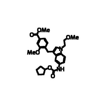 COCCn1cc(Cc2ccc(C(=O)OC)cc2OC)c2cc(NC(=O)OC3CCCC3)ccc21